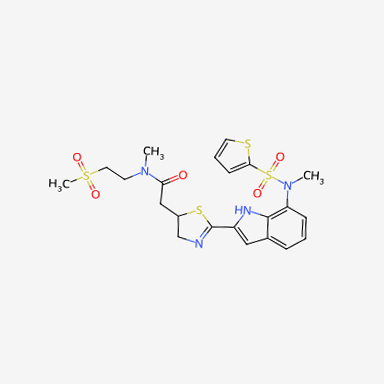 CN(CCS(C)(=O)=O)C(=O)CC1CN=C(c2cc3cccc(N(C)S(=O)(=O)c4cccs4)c3[nH]2)S1